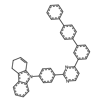 C1=Cc2c(c3ccccc3n2-c2ccc(-c3nccc(-c4cccc(-c5ccc(-c6ccccc6)cc5)c4)n3)cc2)CC1